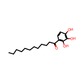 CCCCCCCCCCCC(=O)c1ccc(O)c(O)c1O